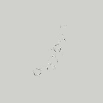 CC(=O)NC[C@H]1CN(c2cc(F)c(N3CCNN(C(=O)Oc4cccnc4)CC3)c(F)c2)C(=O)O1